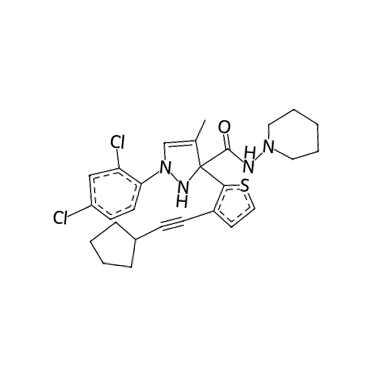 CC1=CN(c2ccc(Cl)cc2Cl)NC1(C(=O)NN1CCCCC1)c1sccc1C#CC1CCCC1